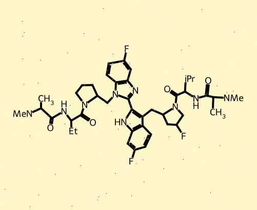 CCC(NC(=O)C(C)NC)C(=O)N1CCCC1Cn1c(-c2[nH]c3cc(F)ccc3c2CC2CC(F)CN2C(=O)C(NC(=O)C(C)NC)C(C)C)nc2cc(F)ccc21